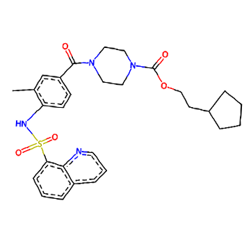 Cc1cc(C(=O)N2CCN(C(=O)OCCC3CCCC3)CC2)ccc1NS(=O)(=O)c1cccc2cccnc12